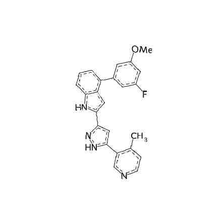 COc1cc(F)cc(-c2cccc3[nH]c(-c4cc(-c5cnccc5C)[nH]n4)cc23)c1